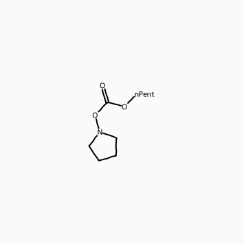 CCCCCOC(=O)ON1CCCC1